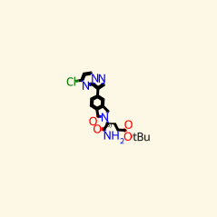 CC(C)(C)OC(=O)CC[C@@H](C(N)=O)N1Cc2cc(-c3cnn4ccc(Cl)nc34)ccc2C1=O